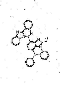 CCc1nc2c(-c3nc4ccccc4c4nc5ccccc5n34)ccc3c2n1-c1ccccc1N3c1ccccc1